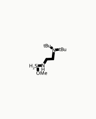 CO[SiH2]NCCN(C(C)(C)C)C(C)(C)C